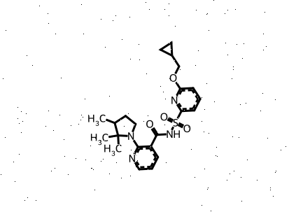 CC1CCN(c2ncccc2C(=O)NS(=O)(=O)c2cccc(OCC3CC3)n2)C1(C)C